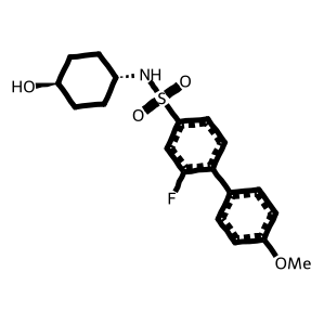 COc1ccc(-c2ccc(S(=O)(=O)N[C@H]3CC[C@H](O)CC3)cc2F)cc1